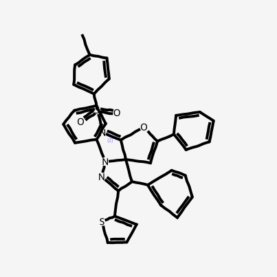 Cc1ccc(S(=O)(=O)/N=C2\OC(c3ccccc3)=CC23C(c2ccccc2)C(c2cccs2)=NN3c2ccccc2)cc1